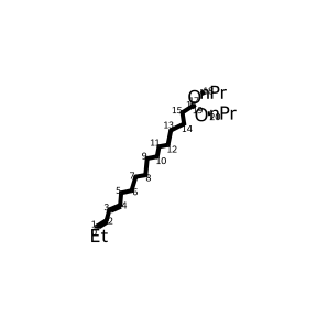 CCC=CC=CCCCCCCCCCCCC(OCCC)OCCC